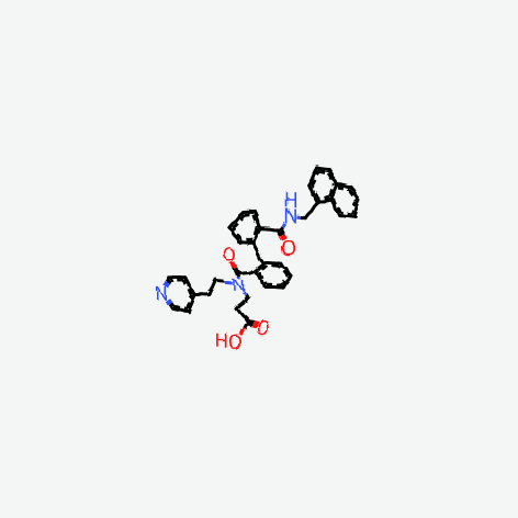 O=C(O)CCN(CCc1ccncc1)C(=O)c1ccccc1-c1ccccc1C(=O)NCc1cccc2ccccc12